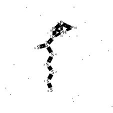 S=S=S=S=S=S(=S)=P1=P2=P3=P[PH]321